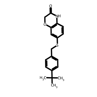 CC(C)(C)c1ccc(CSc2ccc3c(c2)OCC(=O)N3)cc1